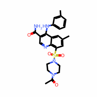 CC(=O)N1CCN(S(=O)(=O)c2cc(C)cc3c(Nc4cccc(C)c4)c(C(N)=O)cnc23)CC1